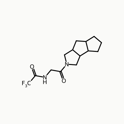 O=C(CNC(=O)C(F)(F)F)N1CC2CC3CCCC3C2C1